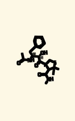 CNC(=O)C1N(C(=O)[C@@H](O)[C@H](Cc2ccccc2)NC(C)=O)CSC1(C)C